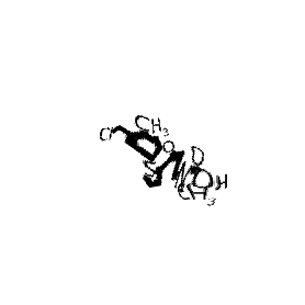 Cc1cc(OC(CCN(C)C(=O)O)c2cccs2)ccc1CCl